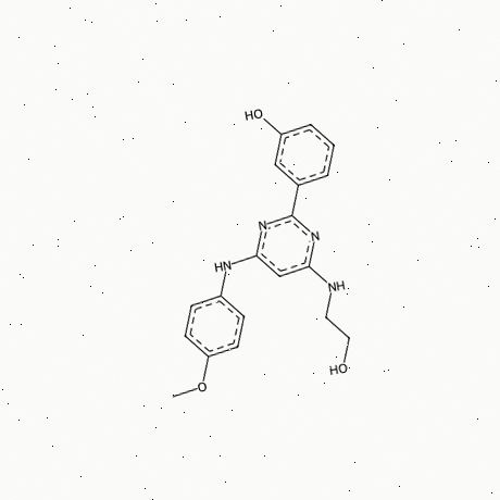 COc1ccc(Nc2cc(NCCO)nc(-c3cccc(O)c3)n2)cc1